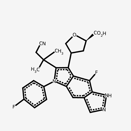 CC(C)(CC#N)c1c(C2CO[C@@H](C(=O)O)C2)c2c(F)c3[nH]ncc3cc2n1-c1ccc(F)cc1